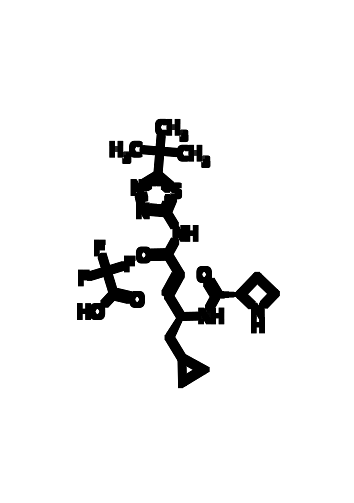 CC(C)(C)c1nnc(NC(=O)/C=C/[C@H](CC2CC2)NC(=O)[C@@H]2CCN2)s1.O=C(O)C(F)(F)F